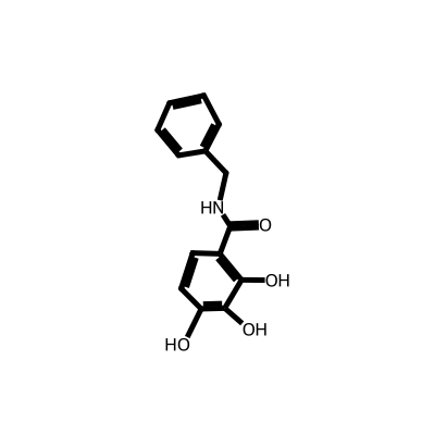 O=C(NCc1ccccc1)c1ccc(O)c(O)c1O